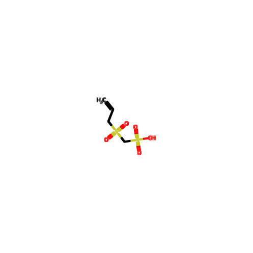 C=CCS(=O)(=O)CS(=O)(=O)O